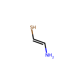 NC=CS